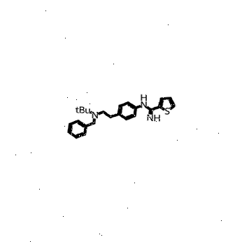 CC(C)(C)N(CCc1ccc(NC(=N)c2cccs2)cc1)Cc1ccccc1